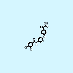 O=C(O)Nc1ccc(Oc2ccc(NC(=O)c3ccc(Cl)c(Cl)c3)cn2)cc1